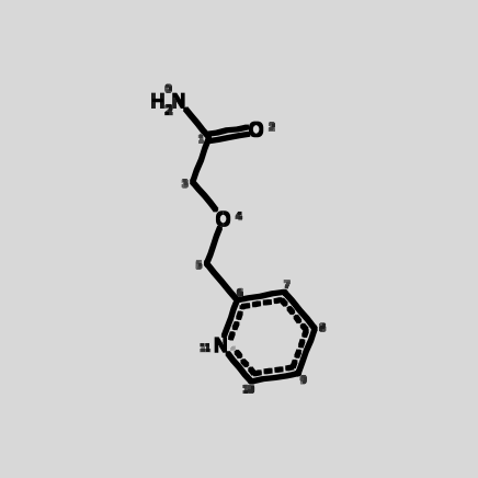 NC(=O)COCc1ccccn1